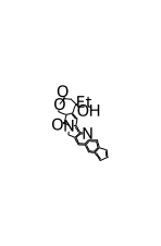 CCC1(O)CC(=O)OCC2C(=O)N3Cc4cc5cc6c(cc5nc4=C3C=C21)C=CC=6